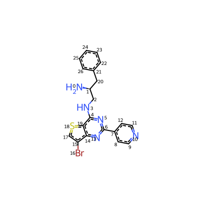 N[C@H](CNc1nc(-c2ccncc2)nc2c(Br)csc12)Cc1ccccc1